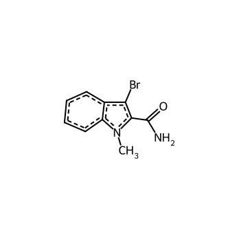 Cn1c(C(N)=O)c(Br)c2ccccc21